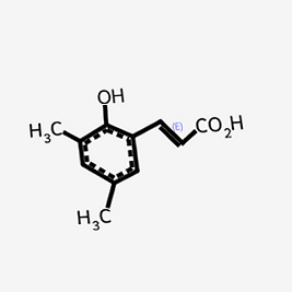 Cc1cc(C)c(O)c(/C=C/C(=O)O)c1